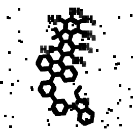 Bc1c(B)c(B)c2c(c1B)-c1c(B)c(B)c(-c3c4ccccc4c(-c4cccc(-c5cccc(-n6c(CC)nc7ccccc76)c5)c4)c4ccccc34)c(B)c1C2(C)C